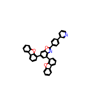 c1cncc(-c2ccc(-c3nc4c(-c5cccc6c5oc5ccccc56)cc(-c5cccc6c5oc5ccccc56)cc4o3)cc2)c1